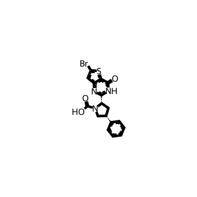 O=C(O)N1C[C@@H](c2ccccc2)C[C@H]1c1nc2cc(Br)sc2c(=O)[nH]1